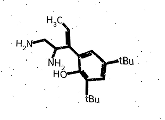 CC=C(c1cc(C(C)(C)C)cc(C(C)(C)C)c1O)C(N)CN